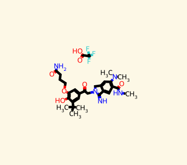 CNC(=O)c1cc2c(cc1N(C)C)CN(CC(=O)c1cc(OCCCC(N)=O)c(O)c(C(C)(C)C)c1)C2=N.O=C(O)C(F)(F)F